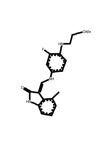 COCCNc1ccc(N/C=C2/C(=O)Nc3cccc(C)c32)cc1F